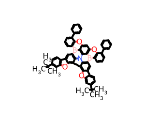 CC(C)(C)c1ccc2c(c1)oc1c2cc2c3c1c1c4oc5cc(C(C)(C)C)ccc5c4cc4c1n3-c1c3c(cc5c1B4c1cccc(-c4ccccc4)c1O5)Oc1c(cccc1-c1ccccc1)B32